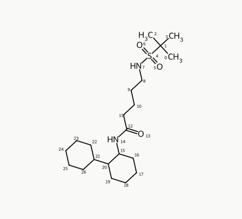 CC(C)(C)S(=O)(=O)NCCCCC(=O)NC1CCCCC1C1CCCCC1